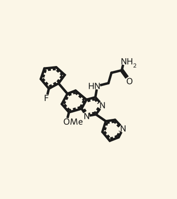 COc1cc(-c2ccccc2F)cc2c(NCCC(N)=O)nc(-c3cccnc3)nc12